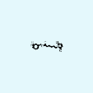 O=C(CCCCCN1C(=O)C=CC1=O)OCC1CCC2O[C@H]2C1